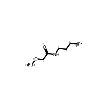 CCCCOCC(=O)NCCCC(C)C